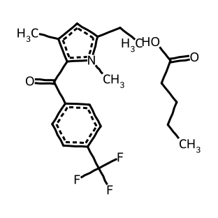 CCCCC(=O)O.CCc1cc(C)c(C(=O)c2ccc(C(F)(F)F)cc2)n1C